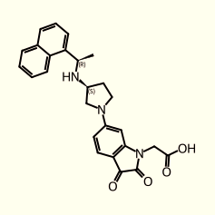 C[C@@H](N[C@H]1CCN(c2ccc3c(c2)N(CC(=O)O)C(=O)C3=O)C1)c1cccc2ccccc12